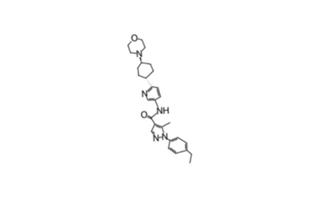 CCc1ccc(-n2ncc(C(=O)Nc3ccc([C@H]4CC[C@H](N5CCOCC5)CC4)nc3)c2C)cc1